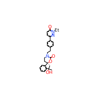 CCn1nc(-c2ccc(CCN3CC[C@](CC(C)(C)O)(c4ccccc4)OC3=O)cc2)ccc1=O